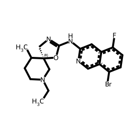 CCN1CCC(C)[C@]2(CN=C(Nc3cc4c(F)ccc(Br)c4cn3)O2)C1